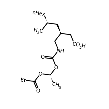 CCCCCC[C@@H](C)C[C@H](CNC(=O)O[C@H](C)OC(=O)CC)CC(=O)O